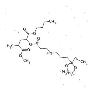 CCCCOC(=O)C(CC(C)C(=O)OC)OC(=O)CCNCCC[Si](OC)(OC)OC